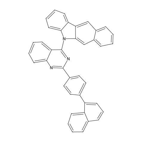 c1ccc2cc3c(cc2c1)c1ccccc1n3-c1nc(-c2ccc(-c3cccc4ccccc34)cc2)nc2ccccc12